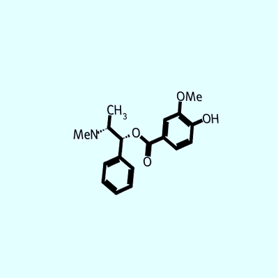 CN[C@H](C)[C@H](OC(=O)c1ccc(O)c(OC)c1)c1ccccc1